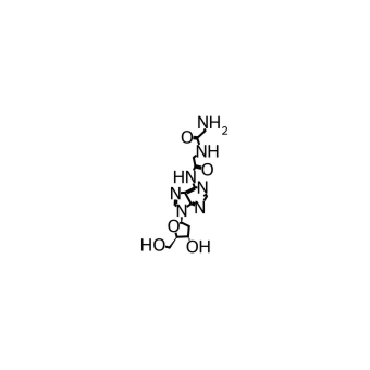 NCC(=O)NCC(=O)Nc1ncnc2c1ncn2[C@H]1C[C@H](O)[C@@H](CO)O1